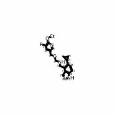 CCOc1ncc(COCNCc2c(C3CC3)ccc3[nH]ncc23)cc1F